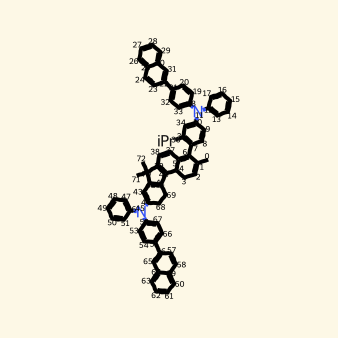 CC1=CCC2C(=C1c1ccc(N(c3ccccc3)c3ccc(-c4ccc5ccccc5c4)cc3)cc1C(C)C)C=CC1=C2C2=C(C=C(N(c3ccccc3)c3ccc(-c4ccc5ccccc5c4)cc3)CC2)C1(C)C